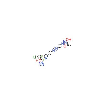 CCC(C(C)O)n1ncn(-c2ccc(N3CCN(c4ccc(-c5ccc(C(F)(F)C(O)(Cn6nccn6)c6cccc(Cl)c6)nc5)cc4)CC3)cc2)c1=O